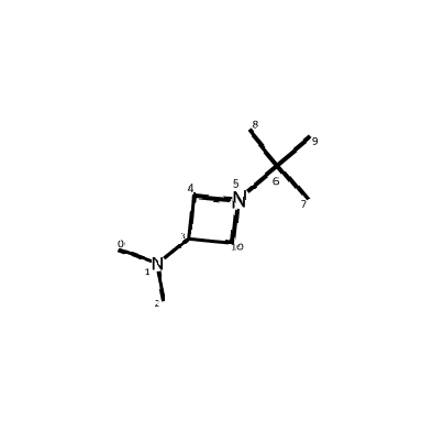 CN(C)C1CN(C(C)(C)C)C1